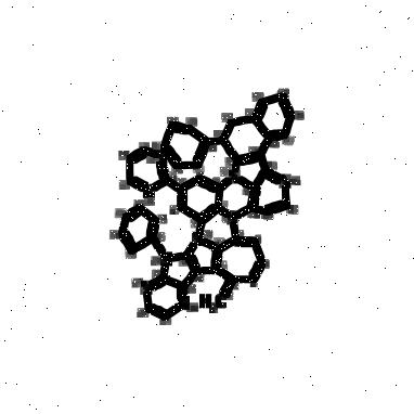 C=C1C=CC=C2B3c4c(cc(-c5ncccn5)cc4-n4c2c1c1c2nccnc2n(-c2ccccc2)c14)-n1c2c(c4nccc3c41)-c1ccccc1CC2c1ccccc1